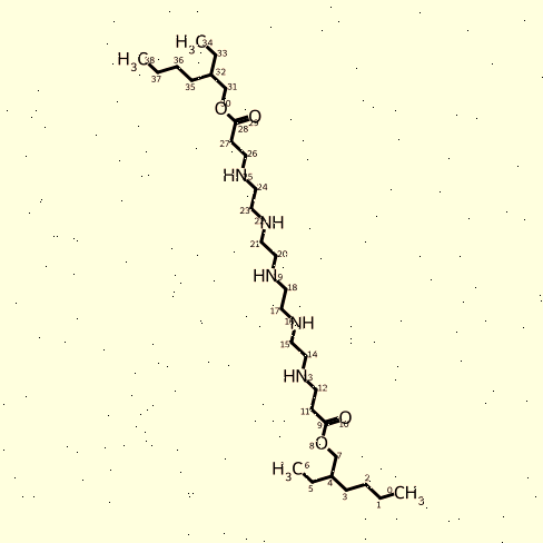 CCCCC(CC)COC(=O)CCNCCNCCNCCNCCNCCC(=O)OCC(CC)CCCC